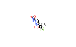 Cc1cc(C(F)(F)F)cc(O)c1-c1cc2c(nn1)N(C[C@@H]1COCC(=O)N1)CC2